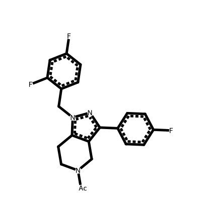 CC(=O)N1CCc2c(c(-c3ccc(F)cc3)nn2Cc2ccc(F)cc2F)C1